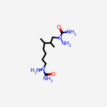 CC(CCCCN(N)C(N)=O)C(C)CN(N)C(N)=O